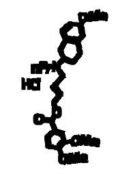 CCCN(CCCCOC(=O)c1ccc(OC)c(OC)c1)C1CCc2cc(OC)ccc2C1.Cl